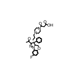 CC(=O)C1=NN2c3cc(F)ccc3OCC2[C@]1(CCCN1CCN(C(=O)CC(=O)O)CC1)c1ccccc1